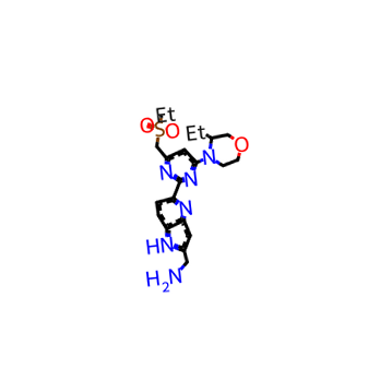 CCC1COCCN1c1cc(CS(=O)(=O)CC)nc(-c2ccc3[nH]c(CN)cc3n2)n1